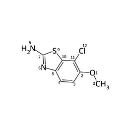 COc1ccc2nc(N)sc2c1Cl